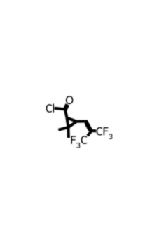 CC1(C)C(C=C(C(F)(F)F)C(F)(F)F)C1C(=O)Cl